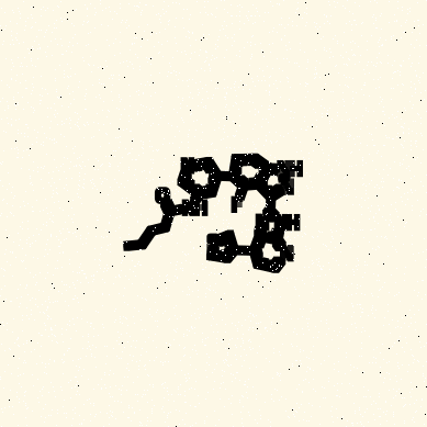 CCCCC(=O)Nc1cncc(-c2ccc3[nH]nc(-c4nc5c(-c6ccsc6)ccnc5[nH]4)c3c2F)c1